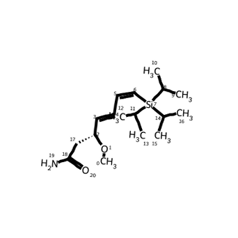 CO[C@@H](/C=C/C=C\[Si](C(C)C)(C(C)C)C(C)C)CC(N)=O